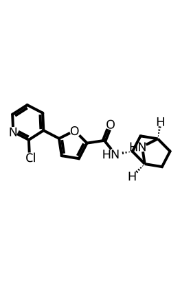 O=C(N[C@@H]1C[C@H]2CC[C@@H]1N2)c1ccc(-c2cccnc2Cl)o1